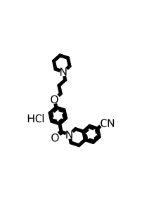 Cl.N#Cc1ccc2c(c1)CN(C(=O)c1ccc(OCCCN3CCCCC3)cc1)CC2